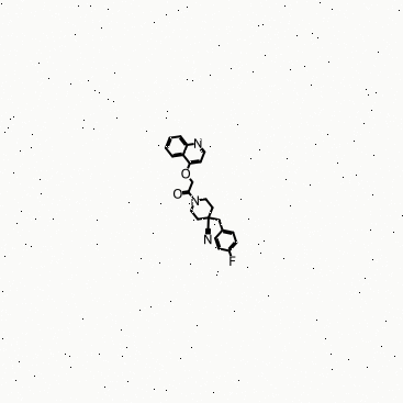 N#CC1(Cc2ccc(F)cc2)CCN(C(=O)COc2ccnc3ccccc23)CC1